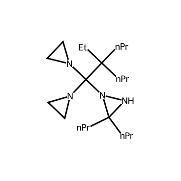 [CH2]CC(CCC)(CCC)C(N1CC1)(N1CC1)N1NC1(CCC)CCC